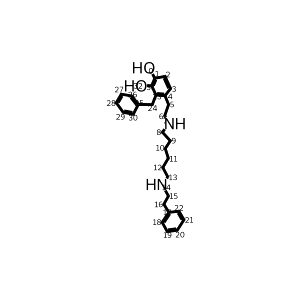 Oc1ccc(CCNCCCCCCNCCc2ccccc2)c(Cc2ccccc2)c1O